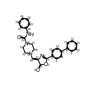 O=C1OC(c2ccc(-c3ccccc3)cc2)=NC1=CN1CCN(C(=O)Nc2ccccc2)CC1